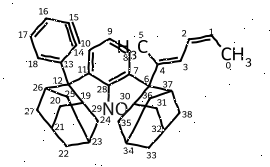 C/C=C\C=C(/C)C1(c2cccc(C3(c4c#cccc4)C4CC5CC(C4)CC3C5)c2N=O)C2CC3CC(C2)CC1C3